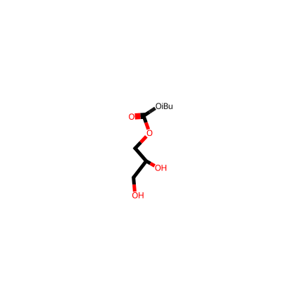 CC(C)COC(=O)OCC(O)CO